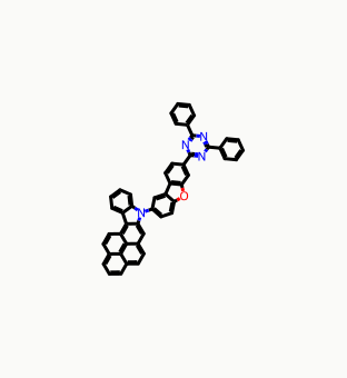 c1ccc(-c2nc(-c3ccccc3)nc(-c3ccc4c(c3)oc3ccc(-n5c6ccccc6c6c7ccc8cccc9ccc(cc65)c7c98)cc34)n2)cc1